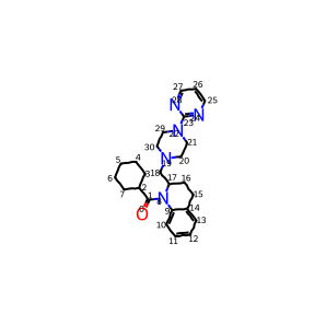 O=C(C1CCCCC1)N1c2ccccc2CCC1CN1CCN(c2ncccn2)CC1